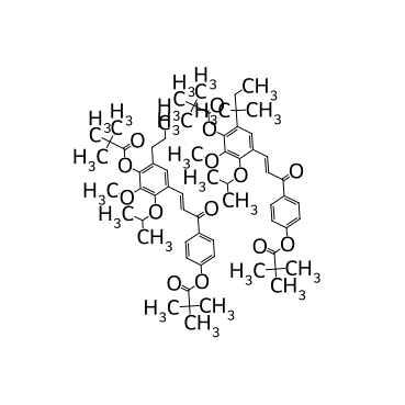 CCC(C)(C)c1cc(C=CC(=O)c2ccc(OC(=O)C(C)(C)C)cc2)c(OC(C)C)c(OC)c1OC(=O)C(C)(C)C.CCCc1cc(C=CC(=O)c2ccc(OC(=O)C(C)(C)C)cc2)c(OC(C)C)c(OC)c1OC(=O)C(C)(C)C